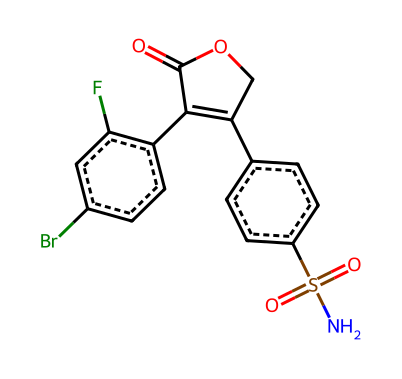 NS(=O)(=O)c1ccc(C2=C(c3ccc(Br)cc3F)C(=O)OC2)cc1